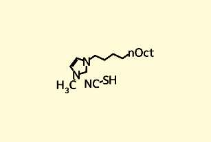 CCCCCCCCCCCCN1C=CN(C)C1.N#CS